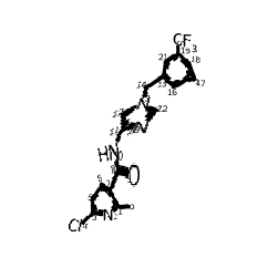 Cc1nc(Cl)ccc1C(=O)Nc1cn(Cc2cccc(C(F)(F)F)c2)cn1